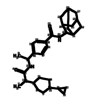 CC(NC(=O)N(C)C1CCN(C2CC2)CC1)c1ccc(C(=O)NC2C3CC4CC(C3)CC2C4)cc1